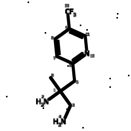 CC(N)(CN)Cc1ccc(C(F)(F)F)cn1